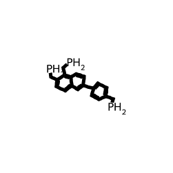 PCc1ccc(-c2ccc3c(CP)c(CP)ccc3c2)cc1